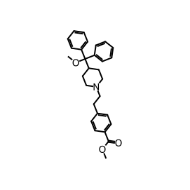 COC(=O)c1ccc(CCN2CCC(C(OC)(c3ccccc3)c3ccccc3)CC2)cc1